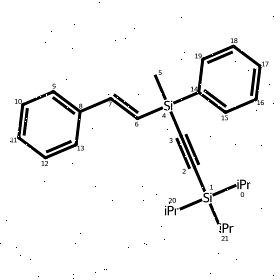 CC(C)[Si](C#C[Si](C)(C=Cc1ccccc1)c1ccccc1)(C(C)C)C(C)C